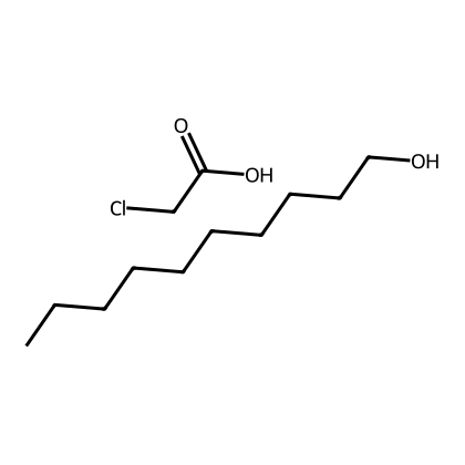 CCCCCCCCCCO.O=C(O)CCl